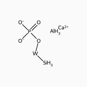 O=P([O-])([O-])[O][W][SiH3].[AlH3].[Ca+2]